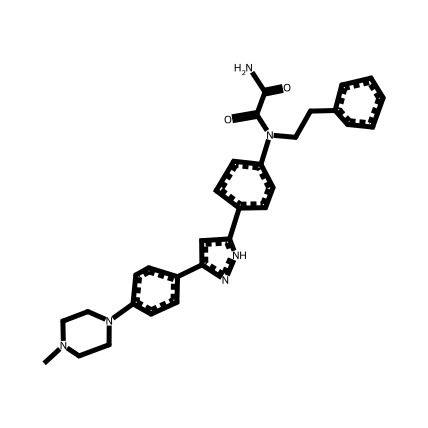 CN1CCN(c2ccc(-c3cc(-c4ccc(N(CCc5ccccc5)C(=O)C(N)=O)cc4)[nH]n3)cc2)CC1